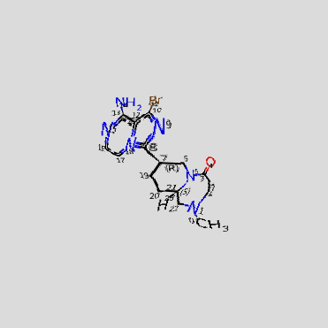 CN1CC(=O)N2C[C@H](c3nc(Br)c4c(N)nccn34)CC[C@H]2C1